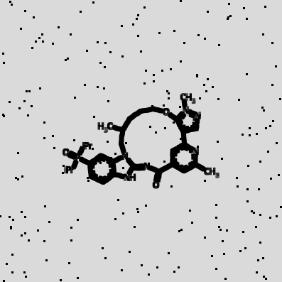 Cc1cc2cc(n1)-c1cnn(C)c1OCCCC(C)CN1/C(=N/C2=O)Nc2ccc(P(=O)(C(C)C)C(C)C)cc21